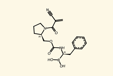 C=C(C#N)C(=O)N1CCC[C@@H]1COC(=O)N[C@@H](Cc1ccccc1)B(O)O